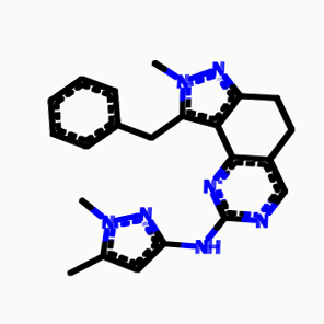 Cc1cc(Nc2ncc3c(n2)-c2c(nn(C)c2Cc2ccccc2)CC3)nn1C